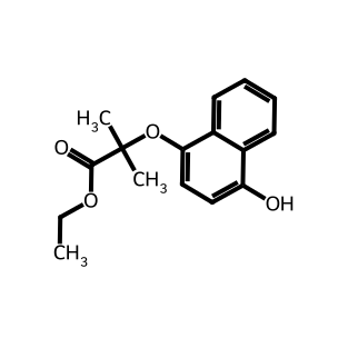 CCOC(=O)C(C)(C)Oc1ccc(O)c2ccccc12